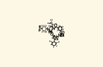 Cc1cccc(C)c1-c1cc2nc(n1)NS(=O)(=O)c1cccc(c1)C(=O)N1C[C@@H](CN(C3CCC(F)(F)CC3)C[C@H]1CC(C)C)O2